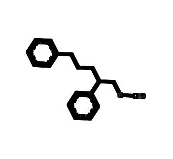 O=COCC(CCCc1ccccc1)c1ccccc1